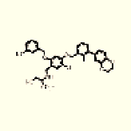 Cc1c(COc2cc(OCc3cccc(C#N)c3)c(CNC(CC#N)C(=O)O)cc2Cl)cccc1-c1ccc2c(c1)OCCO2